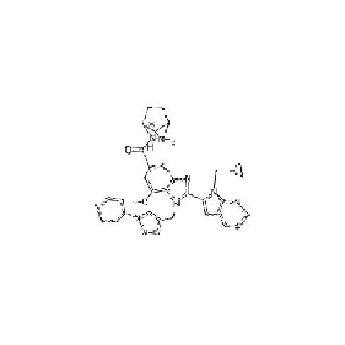 COc1cc(C(=O)N2CC3CCC2[C@@H]3N)cc2nc(-c3cc4cccnc4n3CC3CC3)n(Cc3cnn(-c4ccncc4)c3)c12